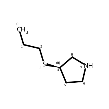 CCCS[C@@H]1CCNC1